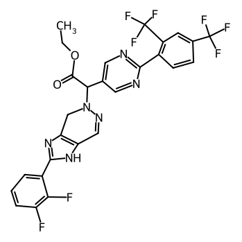 CCOC(=O)C(c1cnc(-c2ccc(C(F)(F)F)cc2C(F)(F)F)nc1)N1Cc2nc(-c3cccc(F)c3F)[nH]c2C=N1